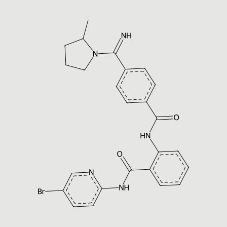 CC1CCCN1C(=N)c1ccc(C(=O)Nc2ccccc2C(=O)Nc2ccc(Br)cn2)cc1